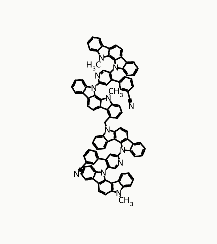 Cn1c2ccccc2c2c1ccc1c3ccccc3n(-c3cnc(-n4c5ccccc5c5ccc6c(c7ccccc7n6Cc6cccc7c6c6ccc8c9ccccc9n(-c9cc(-c%10cccc(C#N)c%10)c(-n%10c%11ccccc%11c%11ccc%12c%13ccccc%13n(C)c%12c%11%10)cn9)c8c6n7C)c54)cc3-c3cccc(C#N)c3)c12